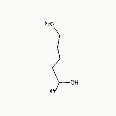 CC(=O)OCCCCC(O)C(C)C